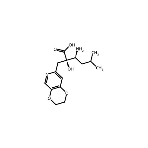 CC(C)C[C@H](N)[C@](O)(Cc1cc2c(cn1)OCCO2)C(=O)O